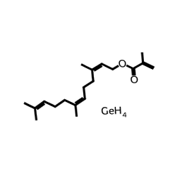 C=C(C)C(=O)OCC=C(C)CCC=C(C)CCC=C(C)C.[GeH4]